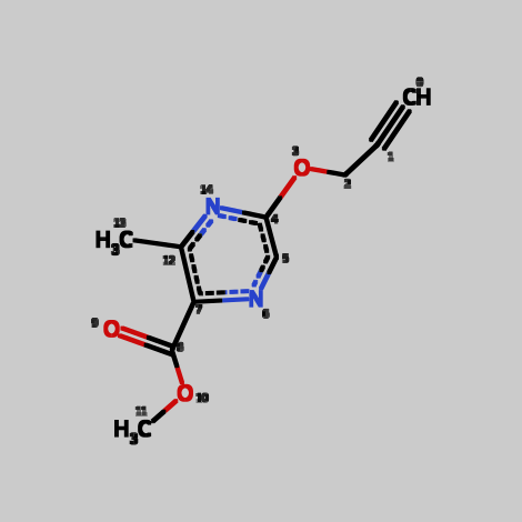 C#CCOc1cnc(C(=O)OC)c(C)n1